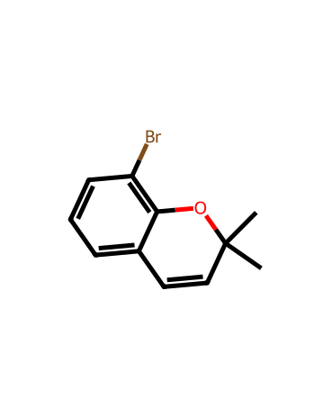 CC1(C)C=Cc2cccc(Br)c2O1